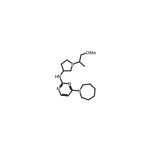 COCC(C)N1CCC(Nc2nccc(N3CCCCCC3)n2)C1